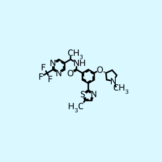 Cc1cnc(-c2cc(O[C@@H]3CCN(C)C3)cc(C(=O)NC(C)c3cnc(C(F)(F)F)nc3)c2)s1